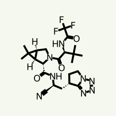 CC(C)(C)[C@H](NC(=O)C(F)(F)F)C(=O)N1C[C@H]2[C@@H]([C@H]1C(=O)N[C@H](C#N)C[C@@H]1CCn3nnnc31)C2(C)C